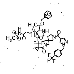 C[C@@H](OCC12CCC(CC1)OC2)[C@H](NC(=O)[C@@H]1CN(C(=O)c2cnn(Cc3ccc(C(F)(F)F)cc3)c2)CC12CN(C(=O)C1(C(F)(F)F)CC1)C2)C(=O)NCCC(=O)NS(C)(=O)=O